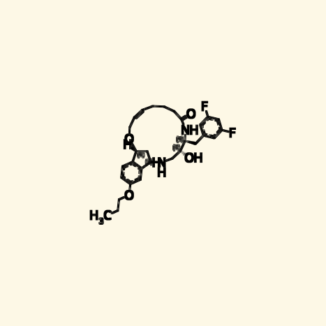 CCCOc1ccc2c(c1)[C@@H]1C[C@H]2OCC=CCCCC(=O)N[C@@H](Cc2cc(F)cc(F)c2)[C@H](O)CN1